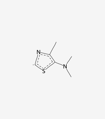 Cc1n[c]sc1N(C)C